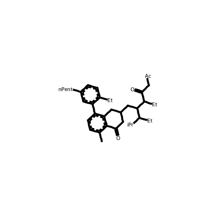 CCCCCc1ccc(CC)c(-c2ccc(C)c3c2CC(CC(C(CC)C(=O)CC(C)=O)C(CC)C(C)C)CC3=O)c1